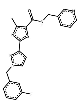 Cc1nc(-c2ccn(Cc3cccc(F)c3)n2)sc1C(=O)NCc1cccnc1